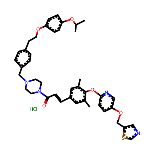 Cc1cc(C=CC(=O)N2CCN(Cc3ccc(CCOc4ccc(OC(C)C)cc4)cc3)CC2)cc(C)c1Oc1ccc(OCc2cncs2)cn1.Cl